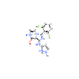 CN1C=CC(Nc2nc(-c3c(F)cccc3F)n3cc[nH]c(=O)c23)N1